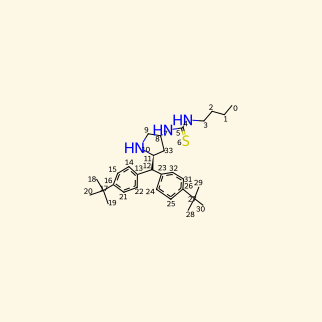 CCCCNC(=S)N[C@H]1CN[C@H](C(c2ccc(C(C)(C)C)cc2)c2ccc(C(C)(C)C)cc2)C1